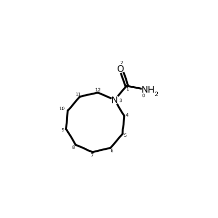 NC(=O)N1CCCCCCCCC1